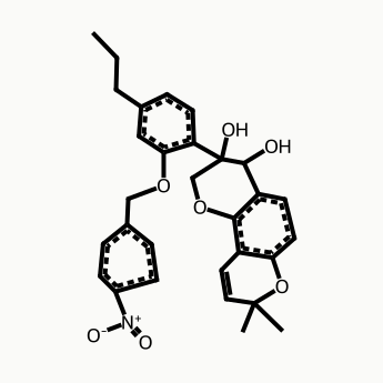 CCCc1ccc(C2(O)COc3c(ccc4c3C=CC(C)(C)O4)C2O)c(OCc2ccc([N+](=O)[O-])cc2)c1